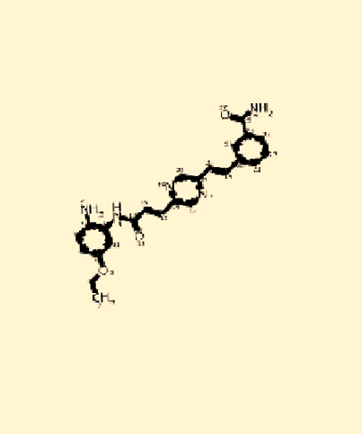 CCOc1ccc(N)c(NC(=O)/C=C/c2cnc(/C=C/c3cccc(C(N)=O)c3)cn2)c1